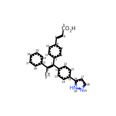 CCC(=C(c1ccc(C=CC(=O)O)cc1)c1ccc(-c2ccn[nH]2)cc1)c1ccccc1